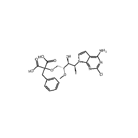 CO[C@H](COC(Cc1ccccc1)(C(=O)O)C(=O)O)[C@@H](O)[C@H](F)n1ccc2c(N)nc(Cl)nc21